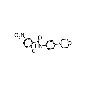 O=C(Nc1ccc(N2CCOCC2)cc1)c1cc([N+](=O)[O-])ccc1Cl